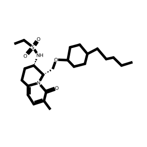 CCCCCC1CCC(OC[C@H]2[C@@H](NS(=O)(=O)CC)CCc3ccc(C)c(=O)n32)CC1